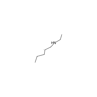 CCC[CH]CNCC